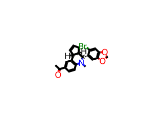 CC(=O)c1ccc2c(c1)[C@@H]1C=CC[C@@H]1[C@H](c1cc3c(cc1Br)OCO3)N2C